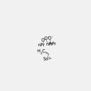 C=[CH][Sn+3].CCC[O-].CCC[O-].CCC[O-]